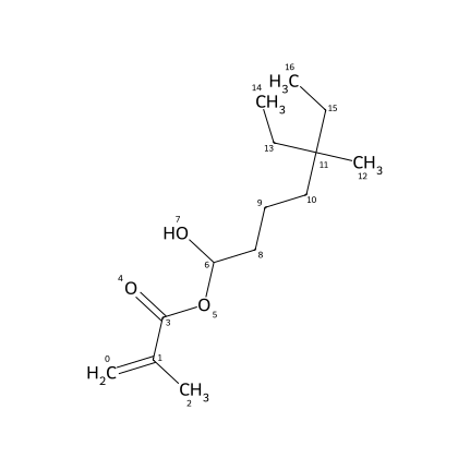 C=C(C)C(=O)OC(O)CCCC(C)(CC)CC